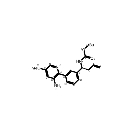 C=CC[C@H](NC(=O)OC(C)(C)C)c1cccc(-c2ncc(OC)cc2N)c1